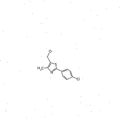 Cc1nc(-c2ccc(Cl)cc2)sc1C[O]